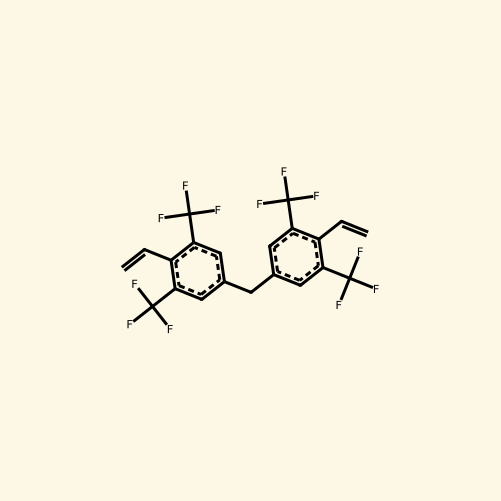 C=Cc1c(C(F)(F)F)cc(Cc2cc(C(F)(F)F)c(C=C)c(C(F)(F)F)c2)cc1C(F)(F)F